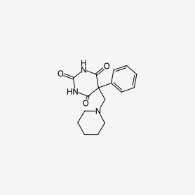 O=C1NC(=O)C(CN2CCCCC2)(c2ccccc2)C(=O)N1